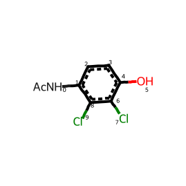 CC(=O)Nc1ccc(O)c(Cl)c1Cl